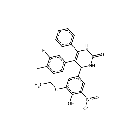 CCOc1cc(C2NC(=O)NC(c3ccccc3)=C2c2ccc(F)c(F)c2)cc([N+](=O)[O-])c1O